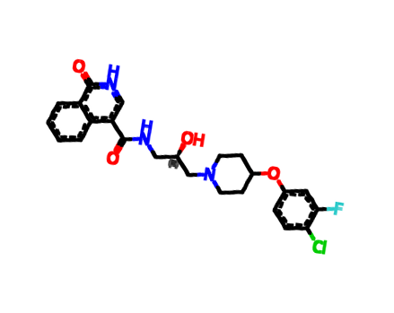 O=C(NC[C@@H](O)CN1CCC(Oc2ccc(Cl)c(F)c2)CC1)c1c[nH]c(=O)c2ccccc12